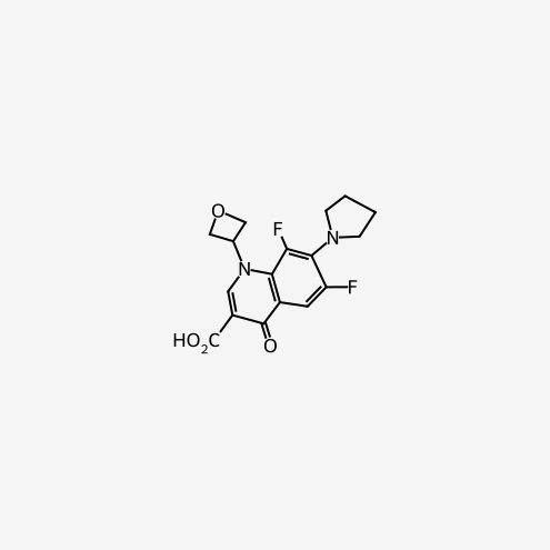 O=C(O)c1cn(C2COC2)c2c(F)c(N3CCCC3)c(F)cc2c1=O